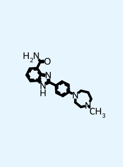 CN1CCCN(c2ccc(-c3nc4c(C(N)=O)cccc4[nH]3)cc2)CC1